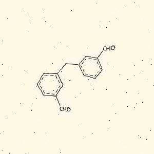 O=Cc1cccc(Cc2cccc(C=O)c2)c1